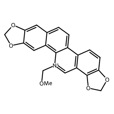 COC[n+]1cc2c3c(ccc2c2ccc4cc5c(cc4c21)OCO5)OCO3